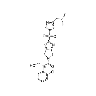 O=C([C@@H](CO)c1ccccc1Cl)N1Cc2cn(S(=O)(=O)c3cnn(CC(F)F)c3)nc2C1